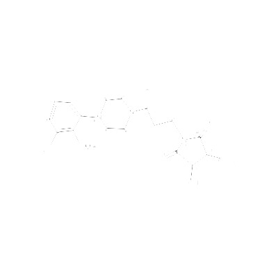 COc1c(F)cccc1N1CCN(CCCN2C(=O)C(C)C(C)C2=O)CC1.Cl